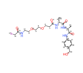 CC(C)[C@H](NC(=O)CCOCCOCCNC(=O)CI)C(=O)N[C@@H](C)C(=O)Nc1ccc(CO)cc1